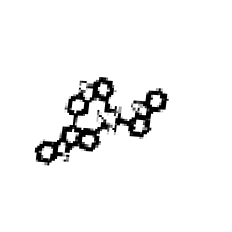 C1=CC2Oc3cccc(-c4nc(-c5ccccc5)nc(-c5cccc6c5oc5ccccc56)n4)c3C2C=C1c1ccc2sc3ccccc3c2c1